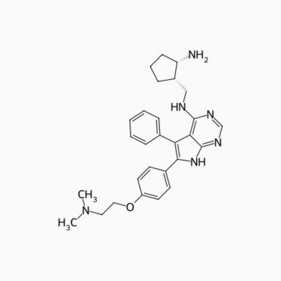 CN(C)CCOc1ccc(-c2[nH]c3ncnc(NC[C@@H]4CCC[C@@H]4N)c3c2-c2ccccc2)cc1